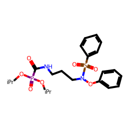 CC(C)OP(=O)(OC(C)C)C(=O)NCCCN(Oc1ccccc1)S(=O)(=O)c1ccccc1